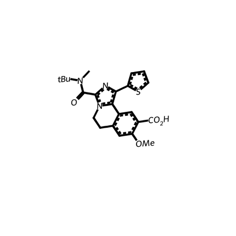 COc1cc2c(cc1C(=O)O)-c1c(-c3cccs3)nc(C(=O)N(C)C(C)(C)C)n1CC2